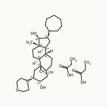 CCC(=O)O.CCC(=O)O.C[C@]12C[C@H](N3CCOCC3)[C@@H](O)C[C@@H]1CC[C@@H]1[C@@H]2CC[C@]2(C)[C@@H](O)[C@@H](N3CCCCCC3)C[C@@H]12